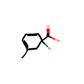 CC1=CC=CC(Br)(C(=O)O)C1